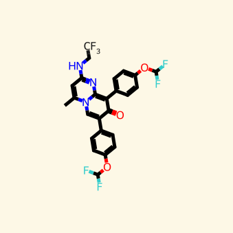 Cc1cc(NCC(F)(F)F)nc2c(-c3ccc(OC(F)F)cc3)c(=O)c(-c3ccc(OC(F)F)cc3)cn12